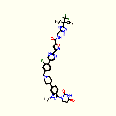 Cn1nc(N2CCC(=O)NC2=O)c2ccc(C3CCN(Cc4ccc(-c5cnc(-c6cc(C(=O)NCc7nc(C(C)(C)C(F)(F)F)n[nH]7)on6)nc5)c(F)c4)CC3)cc21